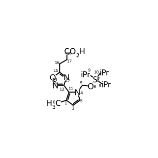 Cc1ccn(CO[Si](C(C)C)(C(C)C)C(C)C)c1-c1noc(CCC(=O)O)n1